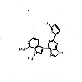 CNc1nccc2c(-c3nc(-c4cccc(C)n4)nc4[nH]cnc34)cn(C)c12